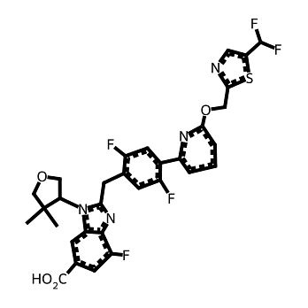 CC1(C)COCC1n1c(Cc2cc(F)c(-c3cccc(OCc4ncc(C(F)F)s4)n3)cc2F)nc2c(F)cc(C(=O)O)cc21